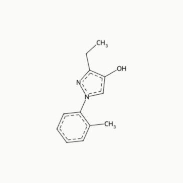 CCc1nn(-c2ccccc2C)cc1O